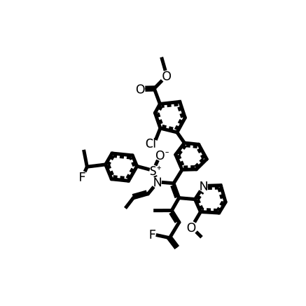 C=C(F)/C=C(C)/C(=C(/c1cccc(-c2ccc(C(=O)OC)cc2Cl)c1)N(/C=C/C)[S+]([O-])c1ccc(C(C)F)cc1)c1ncccc1OC